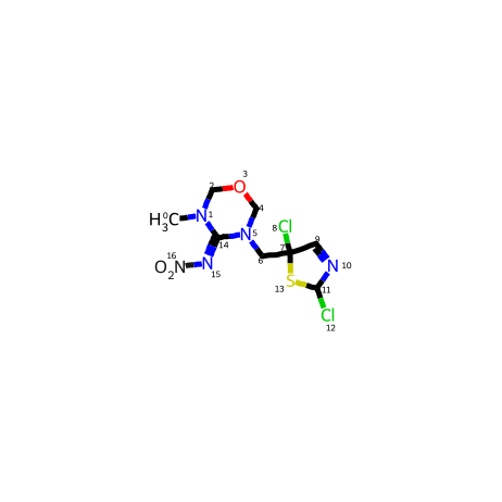 CN1COCN(CC2(Cl)C=NC(Cl)S2)C1=N[N+](=O)[O-]